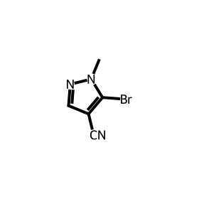 Cn1ncc(C#N)c1Br